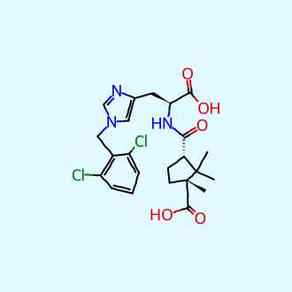 CC1(C)[C@@H](C(=O)N[C@@H](Cc2cn(Cc3c(Cl)cccc3Cl)cn2)C(=O)O)CC[C@@]1(C)C(=O)O